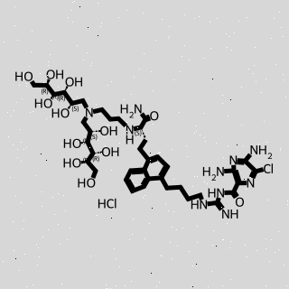 Cl.N=C(NCCCCc1ccc(CC[C@H](NCCCN(C[C@H](O)[C@@H](O)[C@H](O)[C@H](O)CO)C[C@H](O)[C@@H](O)[C@H](O)[C@H](O)CO)C(N)=O)c2ccccc12)NC(=O)c1nc(Cl)c(N)nc1N